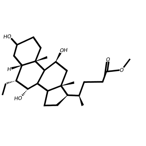 CC[C@H]1[C@@H](O)C2C3CC[C@H]([C@H](C)CCC(=O)OC)[C@@]3(C)C[C@H](O)C2[C@@]2(C)CCC(O)C[C@@H]12